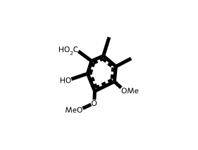 COOc1c(O)c(C(=O)O)c(C)c(C)c1OC